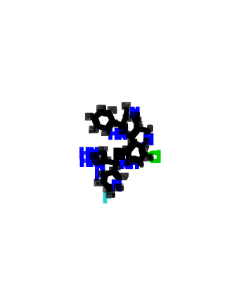 BC(Nc1cc(Cl)c2ncc(C#N)c(N[C@H](CC)c3ccccc3)c2c1)(C1=CNNN1)c1ccc(F)nc1